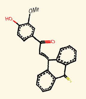 COc1cc(C(=O)C=C2c3ccccc3C(=S)c3ccccc32)ccc1O